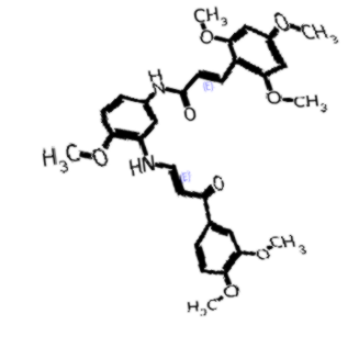 COc1cc(OC)c(/C=C/C(=O)Nc2ccc(OC)c(N/C=C/C(=O)c3ccc(OC)c(OC)c3)c2)c(OC)c1